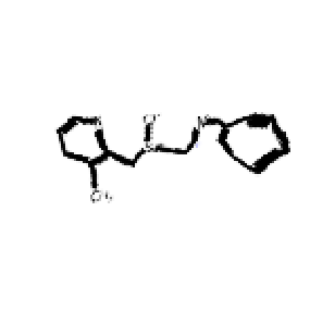 Cc1cccnc1C[S+]([O-])/C=N/c1ccccc1